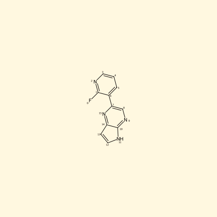 Fc1ncccc1-c1cnc2[nH]ccc2n1